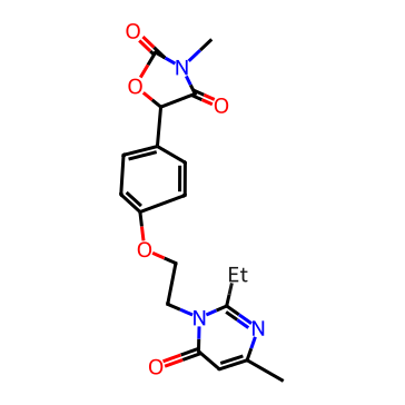 CCc1nc(C)cc(=O)n1CCOc1ccc(C2OC(=O)N(C)C2=O)cc1